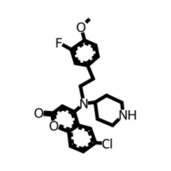 COc1ccc(CCN(c2cc(=O)oc3ccc(Cl)cc23)C2CCNCC2)cc1F